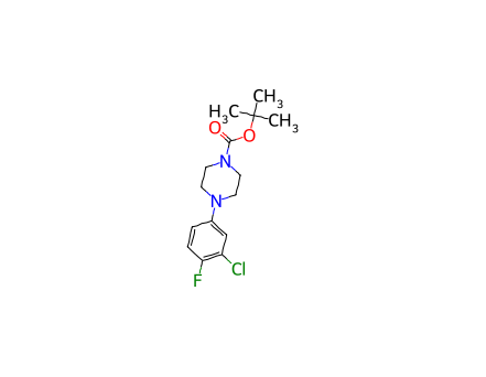 CC(C)(C)OC(=O)N1CCN(c2ccc(F)c(Cl)c2)CC1